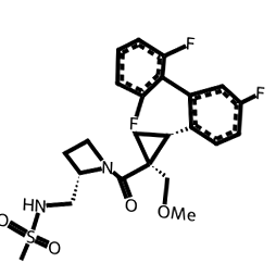 COC[C@]1(C(=O)N2CC[C@H]2CNS(C)(=O)=O)C[C@@H]1c1ccc(F)cc1-c1c(F)cccc1F